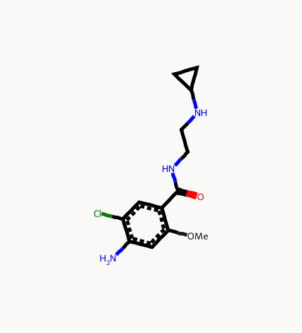 COc1cc(N)c(Cl)cc1C(=O)NCCNC1CC1